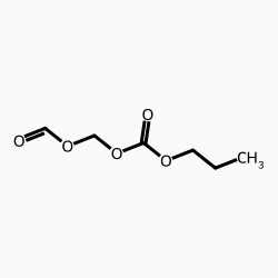 CCCOC(=O)OCOC=O